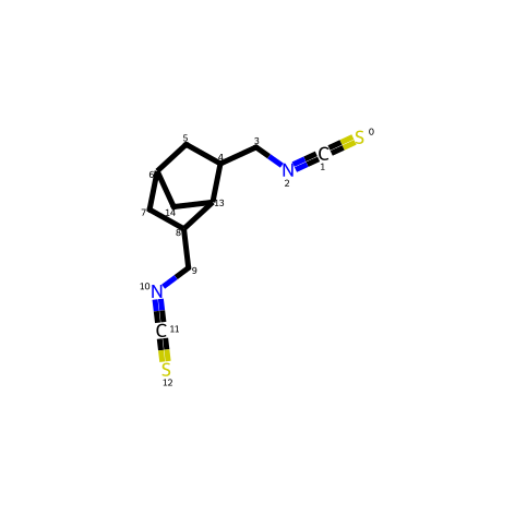 S=C=NCC1CC2CC(CN=C=S)C1C2